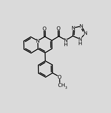 COc1cccc(-c2cc(C(=O)Nc3nnn[nH]3)c(=O)n3ccccc23)c1